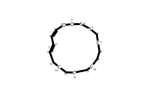 C1=C\OOSSCCCCCCCCCC/C=C/1